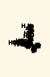 NS(=O)(=O)c1cccc(NC(=O)NC2CCN(c3nc(NCC(c4ccccc4)c4ccccc4)c4ncn(C5CC(NC(=O)CCO)C(O)C5O)c4n3)C2)c1